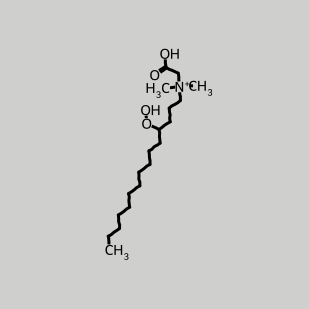 CCCCCCCCCCCC(CCC[N+](C)(C)CC(=O)O)OO